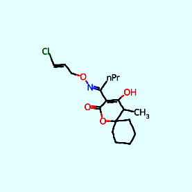 CCCC(=NOCC=CCl)C1=C(O)C(C)C2(CCCCC2)OC1=O